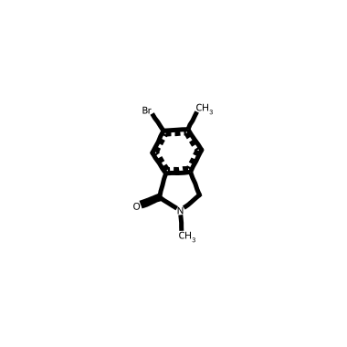 Cc1cc2c(cc1Br)C(=O)N(C)C2